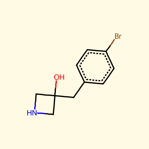 OC1(Cc2ccc(Br)cc2)CNC1